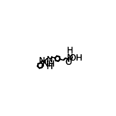 O=C(/C=C/c1ccc(CNCc2nc3ccccc3[nH]2)cc1)NO